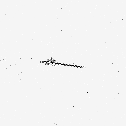 CCCCCCCCCCCCCCCCCC(=O)NC(O)C(OC[C@@H](O)CO)P(=O)(O)O